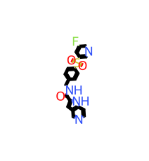 O=C(NCc1ccc(S(=O)(=O)c2cncc(F)c2)cc1)c1cc2cnccc2[nH]1